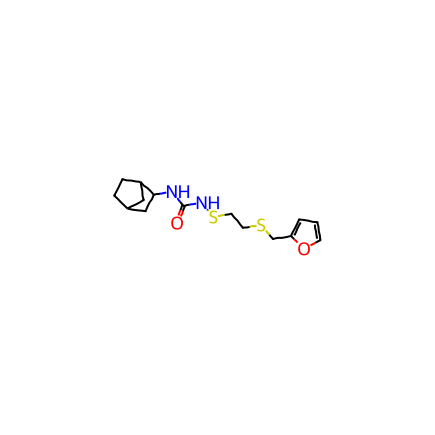 O=C(NSCCSCc1ccco1)NC1CC2CCC1C2